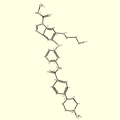 CNC(=O)n1ccc2cc(Oc3ccnc(NC(=O)c4ccc(C5CCN(C)CC5)cc4)c3)c(OCCCF)cc21